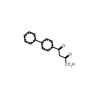 O=C(O)C(=O)CC(=O)c1ccc(-c2ccccc2)cc1